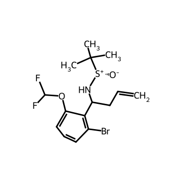 C=CCC(N[S@@+]([O-])C(C)(C)C)c1c(Br)cccc1OC(F)F